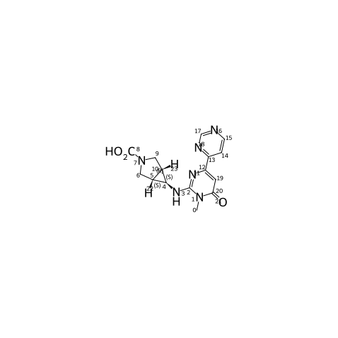 Cn1c(N[C@H]2[C@@H]3CN(C(=O)O)C[C@@H]32)nc(-c2ccncn2)cc1=O